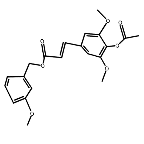 COc1cccc(COC(=O)/C=C/c2cc(OC)c(OC(C)=O)c(OC)c2)c1